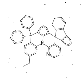 CCc1ccc2c(c1)N1c3ncccc3C3(C4=C(C=CCC4)c4ccccc43)c3cccc(c31)C2(c1ccccc1)c1ccccc1